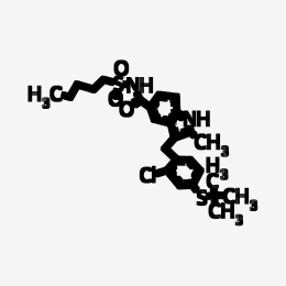 CCCCCS(=O)(=O)NC(=O)c1ccc2[nH]c(C)c(Cc3ccc(SC(C)(C)C)cc3Cl)c2c1